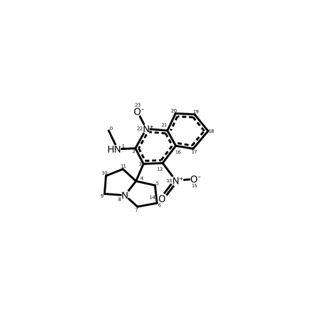 CNc1c(C23CCCN2CCC3)c([N+](=O)[O-])c2ccccc2[n+]1[O-]